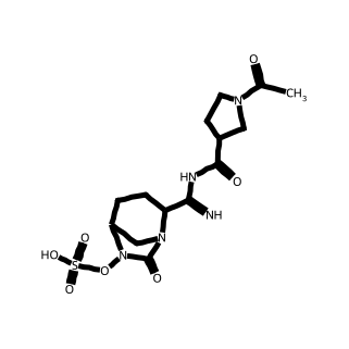 CC(=O)N1CCC(C(=O)NC(=N)C2CCC3CN2C(=O)N3OS(=O)(=O)O)C1